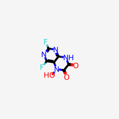 O=c1[nH]c2nc(F)nc(F)c2n(O)c1=O